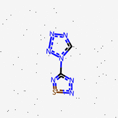 [c]1nnnn1-c1nnsn1